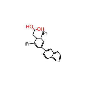 CC(C)c1cc(-c2ccc3ccccc3c2)cc(C(C)C)c1CC(O)O